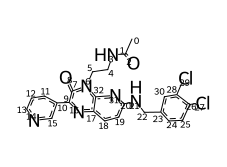 CC(=O)NCCn1c(=O)c(-c2cccnc2)nc2ccc(NCc3ccc(Cl)c(Cl)c3)nc21